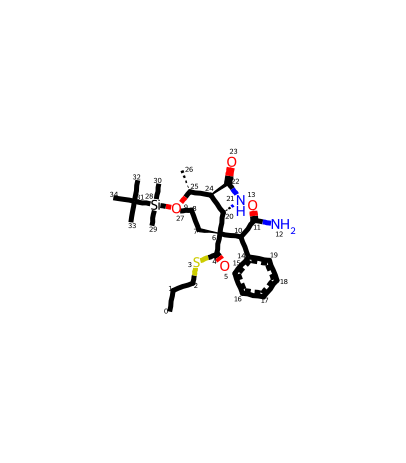 CCCSC(=O)[C@@](CCC)(C(C(N)=O)c1ccccc1)[C@H]1NC(=O)[C@@H]1[C@@H](C)O[Si](C)(C)C(C)(C)C